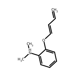 C=CC=COc1ccccc1[SiH](C)C